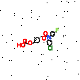 O=C(O)COC[C@H]1CC[C@H](COC(=O)N(c2ccc(F)cc2)c2ccc(Cl)cc2)CC1